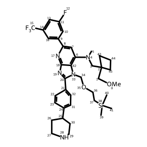 COCC1(CN(C)c2cc(-c3cc(F)cc(C(F)(F)F)c3)nc3nc(-c4ccc(C5CCNCC5)cc4)n(COCC[Si](C)(C)C)c23)CCC1